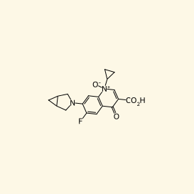 O=C(O)C1=C[N+]([O-])(C2CC2)c2cc(N3CC4CC4C3)c(F)cc2C1=O